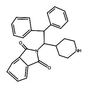 O=C1c2ccccc2C(=O)N1C(C1CCNCC1)C(c1ccccc1)c1ccccc1